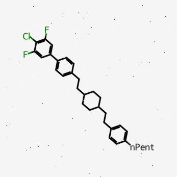 CCCCCc1ccc(CCC2CCC(CCc3ccc(-c4cc(F)c(Cl)c(F)c4)cc3)CC2)cc1